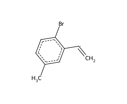 C=[C]c1cc(C)ccc1Br